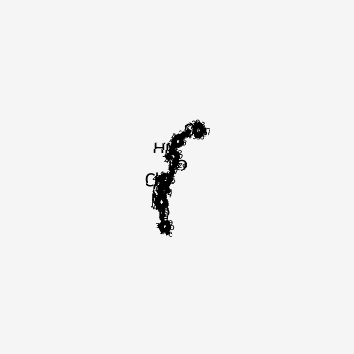 Cc1ccc(COc2ccc(Oc3c(C)cc(/C=C/C(=O)N4CCC(Nc5ccc(CCOc6ccc(C)cc6)cc5)CC4)cc3Cl)nc2)cc1